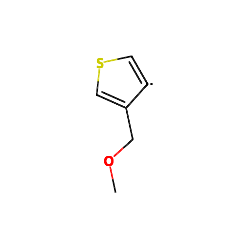 COCc1[c]csc1